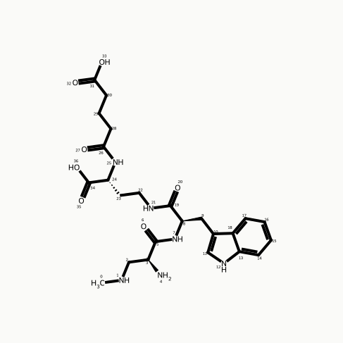 CNC[C@H](N)C(=O)N[C@H](Cc1c[nH]c2ccccc12)C(=O)NCC[C@@H](NC(=O)CCCC(=O)O)C(=O)O